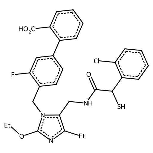 CCOc1nc(CC)c(CNC(=O)C(S)c2ccccc2Cl)n1Cc1ccc(-c2ccccc2C(=O)O)cc1F